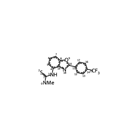 CNC(=S)Nc1cccc2oc(-c3ccc(C(F)(F)F)cc3)nc12